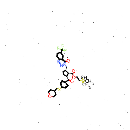 CS(C)(C)CCOC(=O)[C@H]1[C@H](Cn2nnc3ccc(C(F)(F)F)cc3c2=O)CC[C@@H]1C(=O)c1ccc(SCC2CCOCC2)cc1